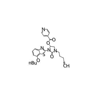 C#CCCCN1CC(OC(=O)c2ccncc2)N(c2nc3cccc(OCCCC)c3s2)C1=O